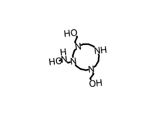 OCCN1CCCNCCCN(CCO)CCN(CNO)CCC1